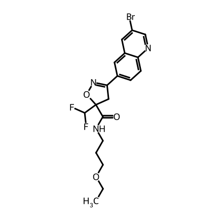 CCOCCCNC(=O)C1(C(F)F)CC(c2ccc3ncc(Br)cc3c2)=NO1